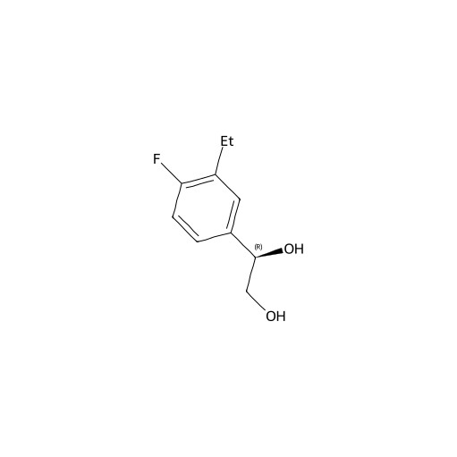 CCc1cc([C@@H](O)CO)ccc1F